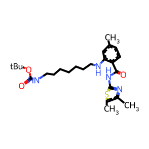 Cc1ccc(C(=O)Nc2nc(C)c(C)s2)c(NCCCCCCCNC(=O)OC(C)(C)C)c1